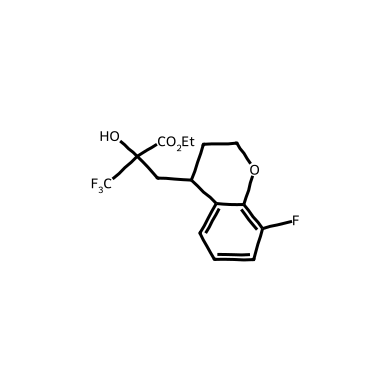 CCOC(=O)C(O)(CC1CCOc2c(F)cccc21)C(F)(F)F